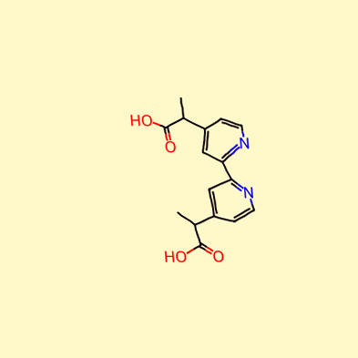 CC(C(=O)O)c1ccnc(-c2cc(C(C)C(=O)O)ccn2)c1